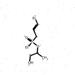 CCC=CCP(=O)(CC)OC(C)CO